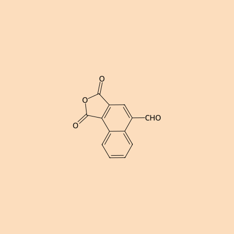 O=Cc1cc2c(c3ccccc13)C(=O)OC2=O